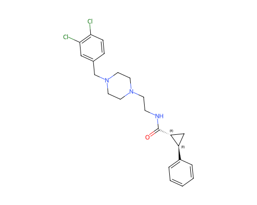 O=C(NCCN1CCN(Cc2ccc(Cl)c(Cl)c2)CC1)[C@@H]1C[C@H]1c1ccccc1